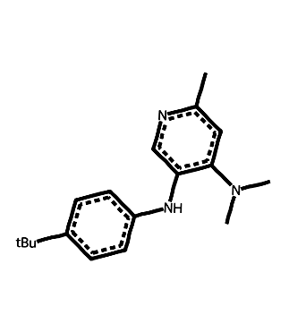 Cc1cc(N(C)C)c(Nc2ccc(C(C)(C)C)cc2)cn1